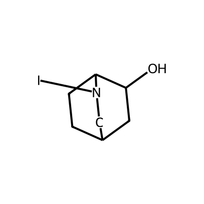 OC1CC2CCC1N(I)C2